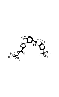 Cc1ccc(C(=O)Nc2cc(C(C)(C)C)cnc2C)cc1-n1cc(C(=O)NCC(C)(C)C)nn1